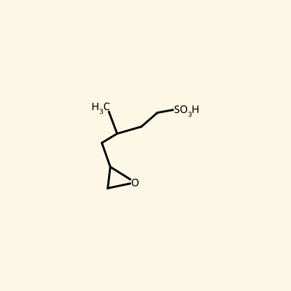 CC(CCS(=O)(=O)O)CC1CO1